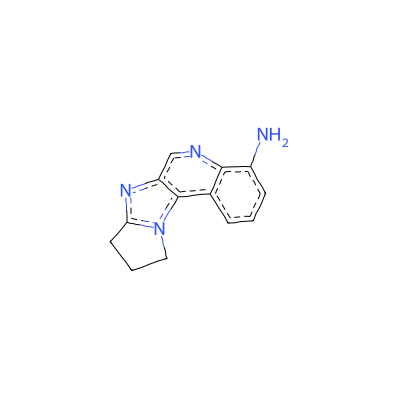 Nc1cccc2c1ncc1nc3n(c12)CCC3